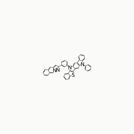 c1ccc(-n2c3ccccc3c3cc4c(cc32)c2sc3ccccc3c2n4-c2cccc(-c3cc4cc5ccccc5cn4n3)c2)cc1